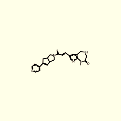 O=C1CNCc2cc(/C=C/C(=O)N3CC4C=C(c5ccncc5)CC4C3)cnc2N1